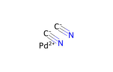 [C-]#N.[C-]#N.[Pd+2]